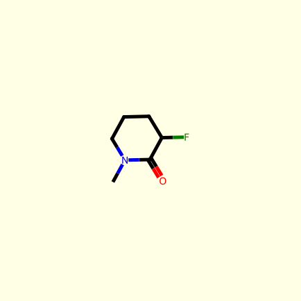 CN1CCCC(F)C1=O